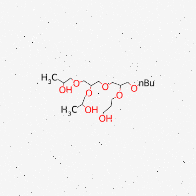 CCCCOCC(COCC(COCC(C)O)OCC(C)O)OCCCO